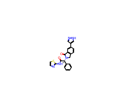 O=C(Nc1nccs1)[C@@H](c1ccccc1)N1Cc2ccc(-c3cn[nH]c3)cc2C1=O